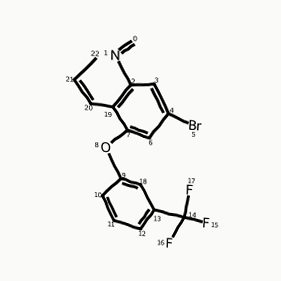 C=Nc1cc(Br)cc(Oc2cccc(C(F)(F)F)c2)c1/C=C\C